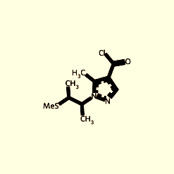 CSC(C)C(C)n1ncc(C(=O)Cl)c1C